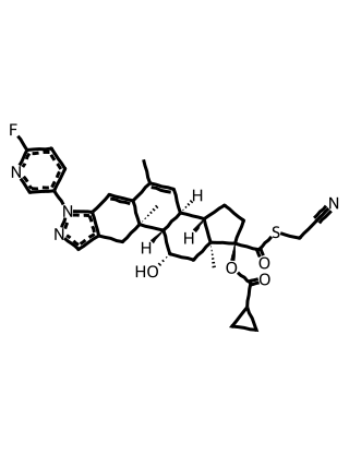 CC1=C[C@@H]2[C@H]([C@@H](O)C[C@@]3(C)[C@H]2CC[C@]3(OC(=O)C2CC2)C(=O)SCC#N)[C@@]2(C)Cc3cnn(-c4ccc(F)nc4)c3C=C12